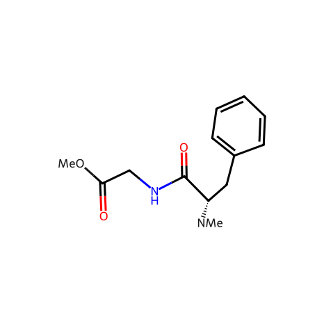 CN[C@@H](Cc1ccccc1)C(=O)NCC(=O)OC